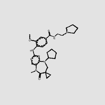 COc1cc(C(=O)NCCN2CCCC2)ccc1Nc1ncc2c(n1)N(C1CCCC1)CC1(CC1)C(=O)N2C